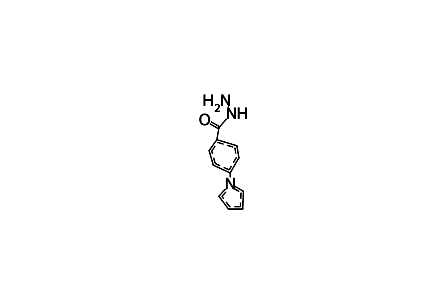 NNC(=O)c1ccc(-n2cccc2)cc1